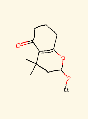 CCOC1CC(C)(C)C2=C(CCCC2=O)O1